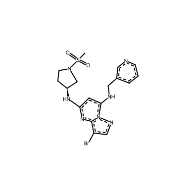 CS(=O)(=O)N1CC[C@H](Nc2cc(NCc3cccnc3)n3ncc(Br)c3n2)C1